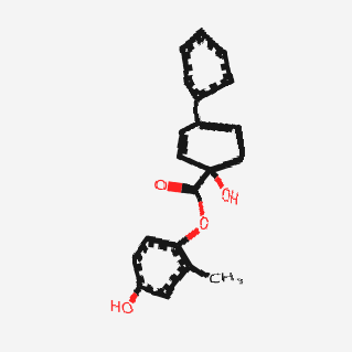 Cc1cc(O)ccc1OC(=O)C1(O)C=CC(c2ccccc2)=CC1